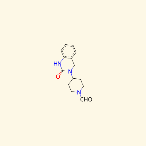 O=CN1CCC(N2Cc3ccccc3NC2=O)CC1